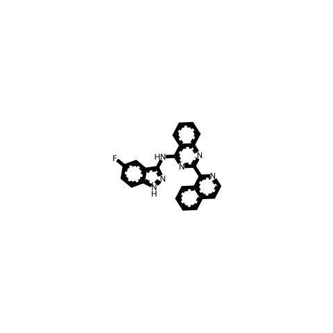 Fc1ccc2[nH]nc(Nc3nc(-c4nccc5ccccc45)nc4ccccc34)c2c1